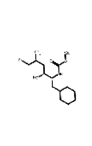 CC(C)C[C@H](C[C@H](O)[C@H](CC1CCCCC1)NC(=O)OC(C)(C)C)C(=O)O